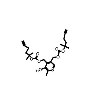 C#CCCC(C)(C)OC(=O)OCc1cnc(C)c(O)c1COC(=O)OC(C)(C)CCC#C